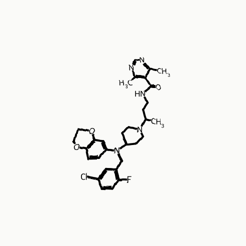 Cc1ncnc(C)c1C(=O)NCCC(C)N1CCC(N(Cc2cc(Cl)ccc2F)c2ccc3c(c2)OCCO3)CC1